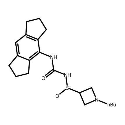 CCCCN1CC([S+]([O-])NC(=O)Nc2c3c(cc4c2CCC4)CCC3)C1